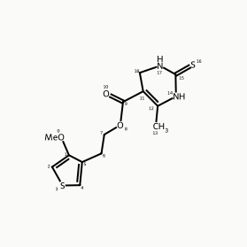 COc1cscc1CCOC(=O)C1=C(C)NC(=S)NC1